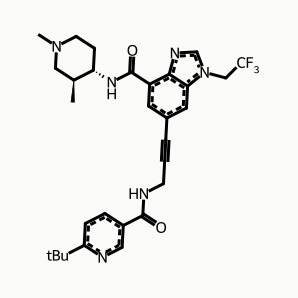 C[C@H]1CN(C)CC[C@@H]1NC(=O)c1cc(C#CCNC(=O)c2ccc(C(C)(C)C)nc2)cc2c1ncn2CC(F)(F)F